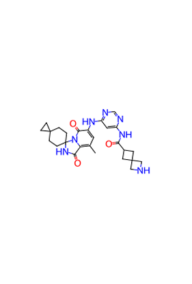 Cc1cc(Nc2cc(NC(=O)C3CC4(CNC4)C3)ncn2)c(=O)n2c1C(=O)NC21CCC2(CC2)CC1